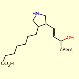 CCCCCC(O)C=CC1CNCC1CCCCCCC(=O)O